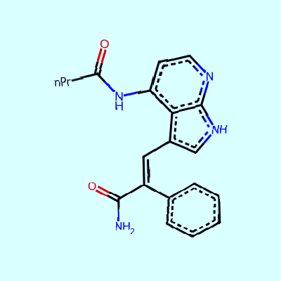 CCCC(=O)Nc1ccnc2[nH]cc(C=C(C(N)=O)c3ccccc3)c12